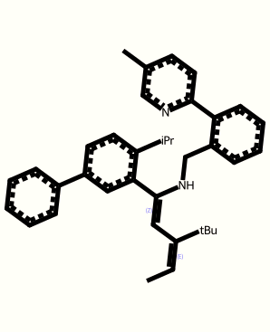 C/C=C(\C=C(/NCc1ccccc1-c1ccc(C)cn1)c1cc(-c2ccccc2)ccc1C(C)C)C(C)(C)C